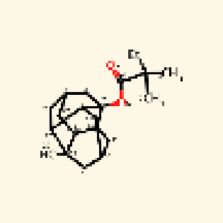 CCC(C)(C)C(=O)OC12CC3CC4C1CC1CC2C(C3)C4(C#N)C1